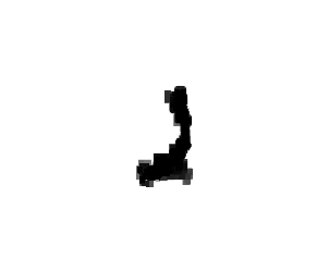 CC1(C)C(NC(=O)c2ccc(N3CCN(CCCCCCOc4cc5c(cc4F)C(=O)N(C4CCC(=O)NC4=O)C5)CC3)nc2)C(C)(C)C1Oc1ccc(C#N)c(Cl)c1